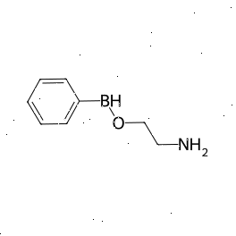 NCCOBc1ccccc1